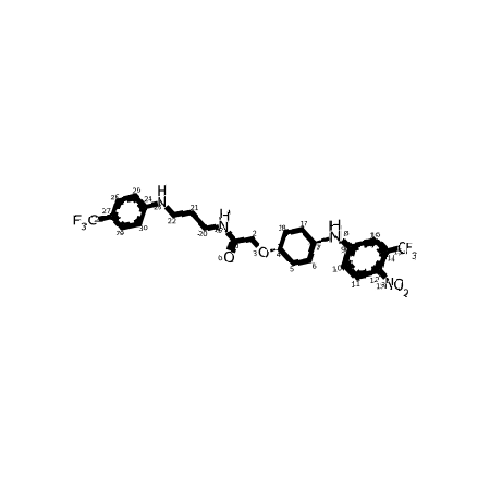 O=C(CO[C@H]1CC[C@H](Nc2ccc([N+](=O)[O-])c(C(F)(F)F)c2)CC1)NCCCNc1ccc(C(F)(F)F)cc1